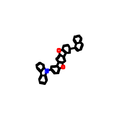 c1ccc2c(-c3ccc4oc5cc6c(cc5c4c3)oc3ccc(-n4c5ccccc5c5ccccc54)cc36)cccc2c1